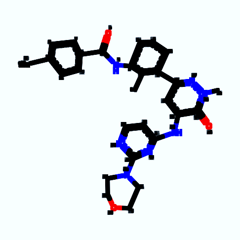 Cc1c(NC(=O)c2ccc(C(C)(C)C)cc2)cccc1-c1cc(Nc2ccnc(N3CCOCC3)n2)c(=O)n(C)n1